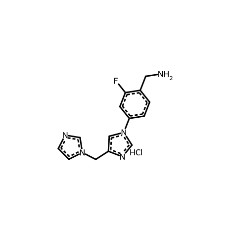 Cl.NCc1ccc(-n2cnc(Cn3ccnc3)c2)cc1F